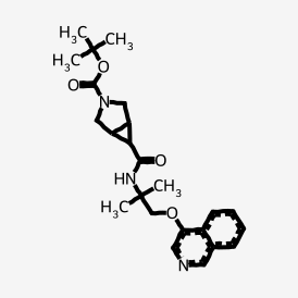 CC(C)(COc1cncc2ccccc12)NC(=O)C1C2CN(C(=O)OC(C)(C)C)CC21